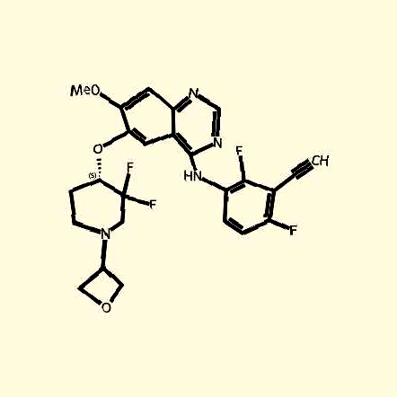 C#Cc1c(F)ccc(Nc2ncnc3cc(OC)c(O[C@H]4CCN(C5COC5)CC4(F)F)cc23)c1F